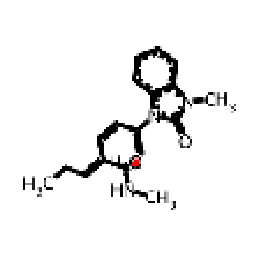 C\C=C(/C=C\C(=C/CC)C(=O)NC)n1c(=O)n(C)c2ccccc21